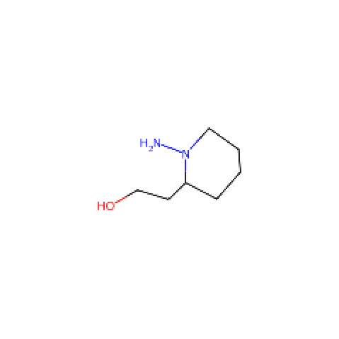 NN1CCCCC1CCO